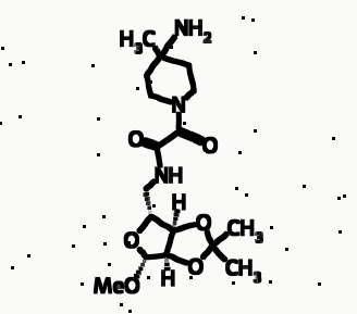 CO[C@@H]1O[C@H](CNC(=O)C(=O)N2CCC(C)(N)CC2)[C@H]2OC(C)(C)O[C@@H]12